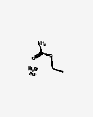 CCOC(N)=O.O.[Au]